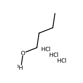 Cl.Cl.Cl.[3H]OCCCC